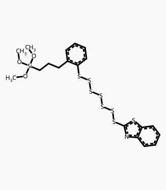 CO[Si](CCCc1ccccc1SSSSSSSc1nc2ccccc2s1)(OC)OC